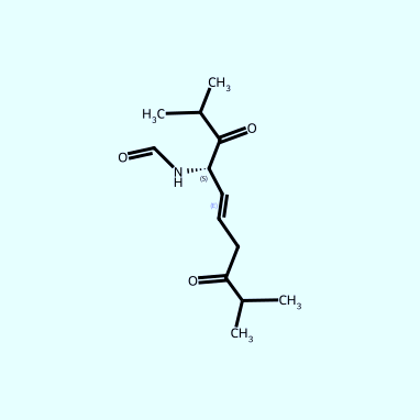 CC(C)C(=O)C/C=C/[C@H](NC=O)C(=O)C(C)C